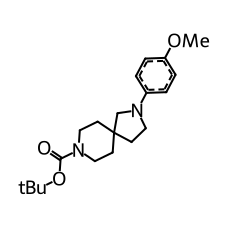 COc1ccc(N2CCC3(CCN(C(=O)OC(C)(C)C)CC3)C2)cc1